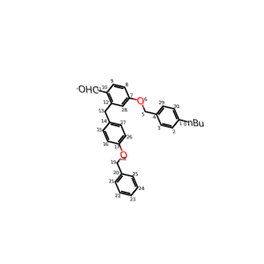 CCCCc1ccc(COc2ccc([C]=O)c(Cc3ccc(OCc4ccccc4)cc3)c2)cc1